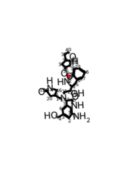 Nc1cc(CO)cc2c1NC(=O)C2N(CC1CNC(=O)C1)C[C@@H](O)C(Cc1ccccc1)NC(=O)OC1CC2CCO[C@@H]2C1